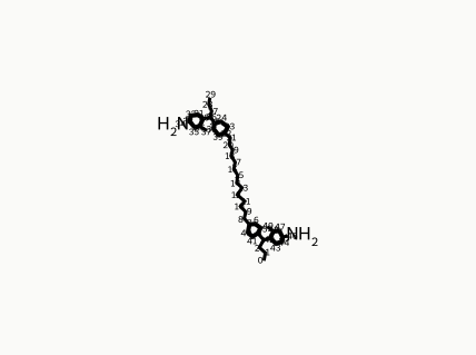 CCCC(c1ccc(CCCCCCCCCCCCCCc2ccc(C(CCC)c3ccc(N)cc3C)cc2)cc1)c1ccc(N)cc1C